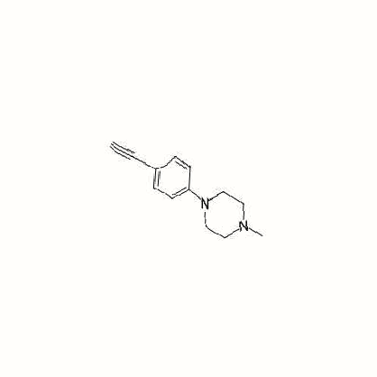 C#Cc1ccc(N2CCN(C)CC2)cc1